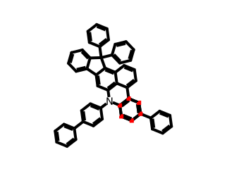 c1ccc(-c2ccc(N(c3ccc(-c4ccccc4)cc3)c3cc4c(c5cccc(-c6ccccc6)c35)C(c3ccccc3)(c3ccccc3)c3ccccc3-4)cc2)cc1